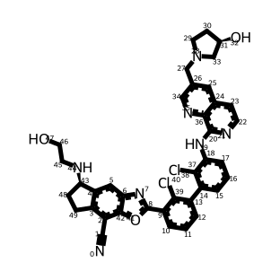 N#Cc1c2c(cc3nc(-c4cccc(-c5cccc(Nc6nccc7cc(CN8CC[C@@H](O)C8)cnc67)c5Cl)c4Cl)oc13)[C@H](NCCO)CC2